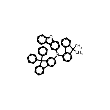 CC1(C)c2ccccc2-c2c(N(c3ccc4c(c3)C(c3ccccc3)(c3ccccc3)c3ccccc3-4)c3ccc4oc5ccccc5c4c3)cccc21